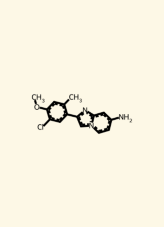 COc1cc(C)c(-c2cn3ccc(N)cc3n2)cc1Cl